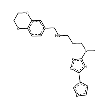 CN(CCCNCc1ccc2c(c1)OCCO2)c1nc(-n2ccnc2)ns1